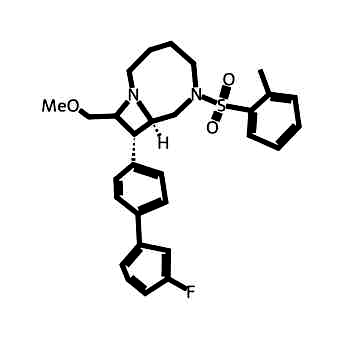 COCC1[C@@H](c2ccc(-c3cccc(F)c3)cc2)[C@@H]2CN(S(=O)(=O)c3ccccc3C)CCCCN12